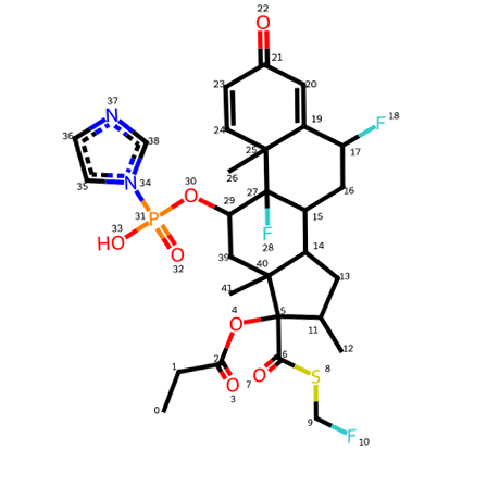 CCC(=O)OC1(C(=O)SCF)C(C)CC2C3CC(F)C4=CC(=O)C=CC4(C)C3(F)C(OP(=O)(O)n3ccnc3)CC21C